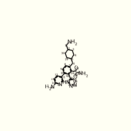 NCC1CCC(Cc2ccc(-c3ccc(N)nc3)c(-c3nnn[nH]3)c2S(N)(=O)=O)CC1